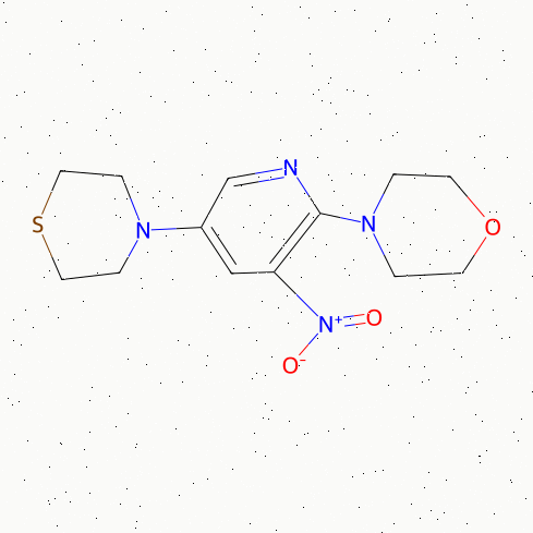 O=[N+]([O-])c1cc(N2CCSCC2)cnc1N1CCOCC1